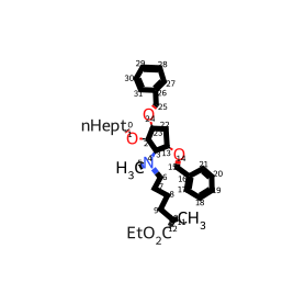 CCCCCCCO[C@H]1[C@H](N(C)CCCCC(C)C(=O)OCC)[C@@H](OCc2ccccc2)C[C@H]1OCc1ccccc1